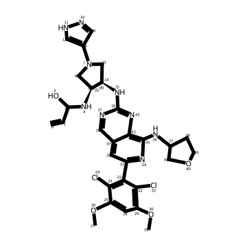 C=CC(O)N[C@H]1CN(c2cn[nH]c2)C[C@H]1Nc1ncc2cc(-c3c(Cl)c(OC)cc(OC)c3Cl)nc(NC3CCOC3)c2n1